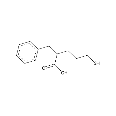 O=C(O)C(CCCS)Cc1ccccc1